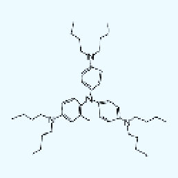 CCCCN(CCCC)c1ccc(N(c2ccc(N(CCCC)CCCC)cc2)c2ccc(N(CCCC)CCCC)cc2C)cc1